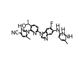 CC1=CC=C(Nc2cc3ncn(-c4ccc([C@H](C)O)c(-n5nc(C#N)cc5C)n4)c3cc2F)NN1